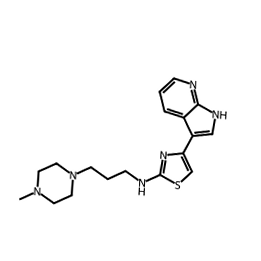 CN1CCN(CCCNc2nc(-c3c[nH]c4ncccc34)cs2)CC1